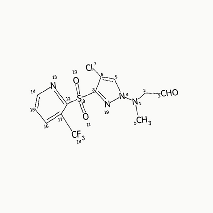 CN(CC=O)n1cc(Cl)c(S(=O)(=O)c2ncccc2C(F)(F)F)n1